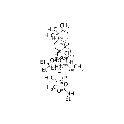 C=C(C)[C@@H](OC(=O)NCC)[C@H]1C[C@@H](C)[C@H]2[C@H](O1)[C@H](O[Si](CC)(CC)CC)[C@@]1(C)[C@@H]3CC[C@H]4C(C)(C)[C@@H](C)CC[C@@]45C[C@@]35CC[C@]21C